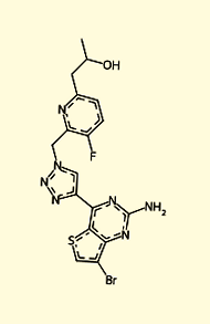 CC(O)Cc1ccc(F)c(Cn2cc(-c3nc(N)nc4c(Br)csc34)nn2)n1